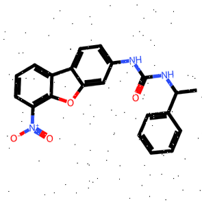 CC(NC(=O)Nc1ccc2c(c1)oc1c([N+](=O)[O-])cccc12)c1ccccc1